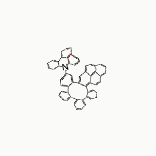 c1ccc(-c2ccccc2N(c2ccccc2)c2ccc3c4ccccc4c4ccccc4c4ccccc4c4c(cc5ccc6cccc7ccc4c5c67)c3c2)cc1